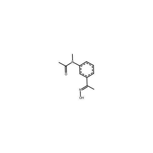 CC(=O)N(C)c1cccc(/C(C)=N/O)c1